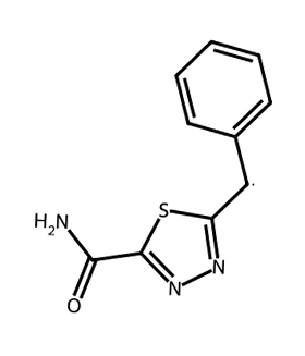 NC(=O)c1nnc([CH]c2ccccc2)s1